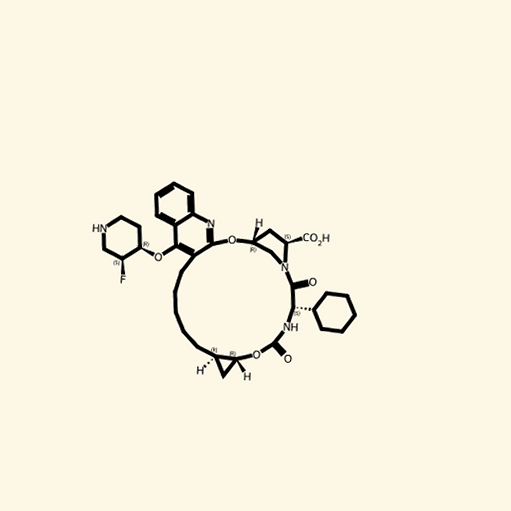 O=C1N[C@@H](C2CCCCC2)C(=O)N2C[C@@H](C[C@H]2C(=O)O)Oc2nc3ccccc3c(O[C@@H]3CCNC[C@@H]3F)c2CCCCC[C@@H]2C[C@H]2O1